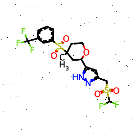 CC1(S(=O)(=O)c2cccc(C(F)(F)F)c2)CCOC(c2cc(CS(=O)(=O)C(F)F)n[nH]2)C1